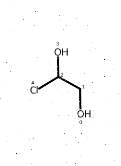 OCC(O)Cl